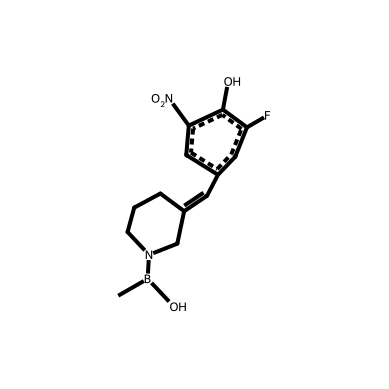 CB(O)N1CCC/C(=C\c2cc(F)c(O)c([N+](=O)[O-])c2)C1